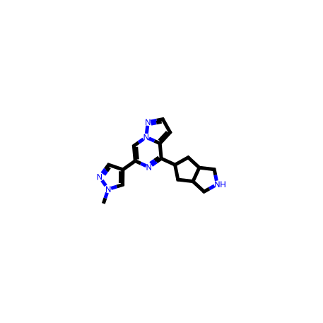 Cn1cc(-c2cn3nccc3c(C3CC4CNCC4C3)n2)cn1